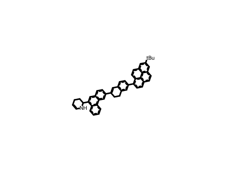 CC(C)(C)c1cc2ccc3ccc(-c4ccc5c(c4)CCC(c4ccc6cc(C7CCC=CN7)c7ccccc7c6c4)=C5)c4ccc(c1)c2c34